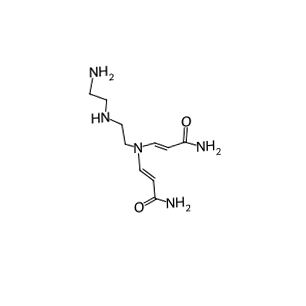 NCCNCCN(C=CC(N)=O)C=CC(N)=O